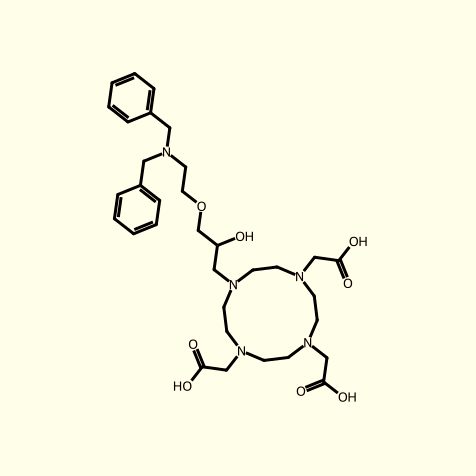 O=C(O)CN1CCN(CC(=O)O)CCN(CC(O)COCCN(Cc2ccccc2)Cc2ccccc2)CCN(CC(=O)O)CC1